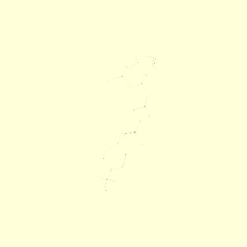 CC(C)(O)C1CCC(NC(=O)C2CC(Oc3cc(F)cc4scnc34)C2)CC1